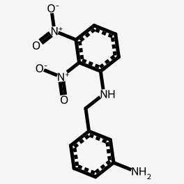 Nc1cccc(CNc2cccc([N+](=O)[O-])c2[N+](=O)[O-])c1